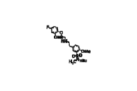 CCCCN(C)S(=O)(=O)c1cc(CCNCCOc2ccc(F)cc2OC)ccc1OC